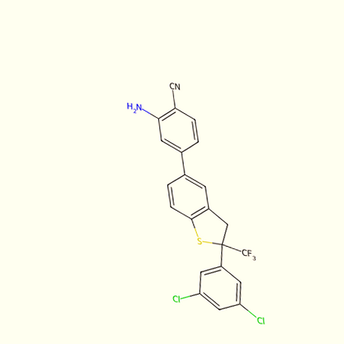 N#Cc1ccc(-c2ccc3c(c2)CC(c2cc(Cl)cc(Cl)c2)(C(F)(F)F)S3)cc1N